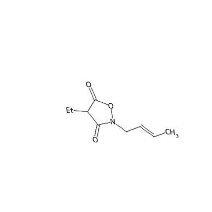 C/C=C/CN1OC(=O)C(CC)C1=O